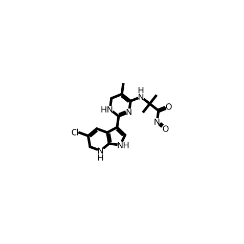 CC1=C(NC(C)(C)C(=O)N=O)N=C(c2c[nH]c3c2C=C(Cl)CN3)NC1